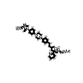 C=C1N(c2ccc(N3CCN(c4ccc(CCC5COC(CN(C)NC)(c6ccccn6)C5)cc4)CC3)cc2)C=NN1C(C)CC